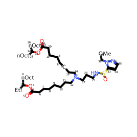 CCCCCCCCC(CC)OC(=O)CCCCCCCN(CCCCCCCC(=O)OC(CCCCCCCC)CCCCCCCC)CCCN[S+]([O-])c1ccnn1COC